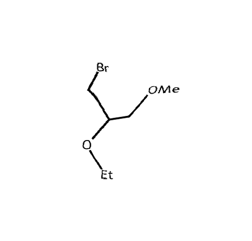 CCOC(CBr)COC